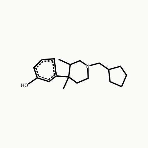 CC1CN(CC2CCCC2)CCC1(C)c1cccc(O)c1